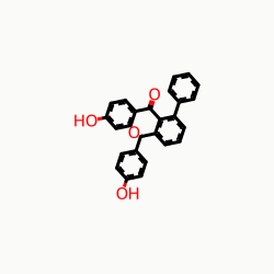 O=C(c1ccc(O)cc1)c1cccc(-c2ccccc2)c1C(=O)c1ccc(O)cc1